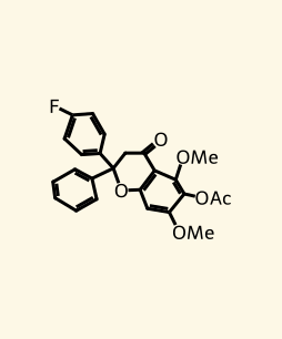 COc1cc2c(c(OC)c1OC(C)=O)C(=O)CC(c1ccccc1)(c1ccc(F)cc1)O2